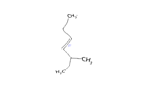 [CH2]C/C=[C]/C(C)C